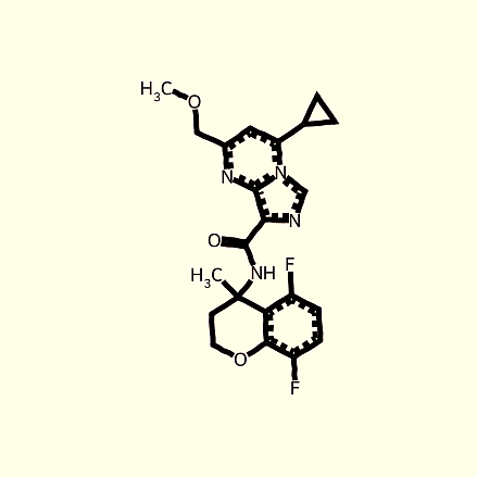 COCc1cc(C2CC2)n2cnc(C(=O)NC3(C)CCOc4c(F)ccc(F)c43)c2n1